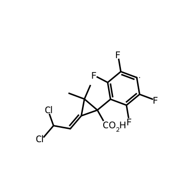 CC1(C)C(=CC(Cl)Cl)C1(C(=O)O)c1c(F)c(F)[c]c(F)c1F